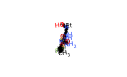 CCN(CCO)CCCCNC(=O)Nc1snc(OCc2cc(F)c(C)cc2F)c1C(N)=O